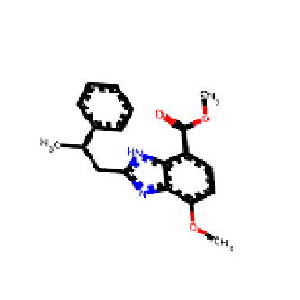 COC(=O)c1ccc(OC)c2nc(CC(C)c3ccccc3)[nH]c12